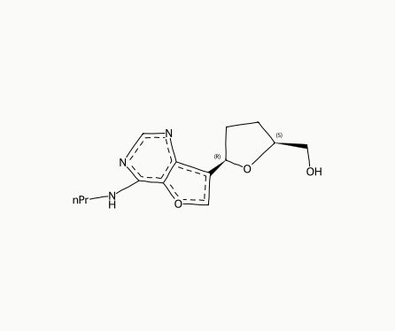 CCCNc1ncnc2c([C@H]3CC[C@@H](CO)O3)coc12